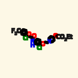 CCOC(=O)OC1CCN(CCOc2ccc(NC(=O)COc3ccc(C(F)(F)F)cc3Cl)cc2Cl)CC1